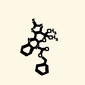 CC1(C)OC2C(=Nc3ccccc3N2C(=O)OCc2ccccc2)c2sc(=S)sc21